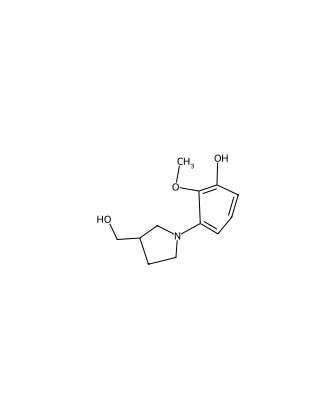 COc1c(O)cccc1N1CCC(CO)C1